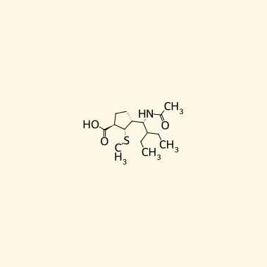 CCC(CC)[C@@H](NC(C)=O)[C@H]1CC[C@H](C(=O)O)[C@H]1SC